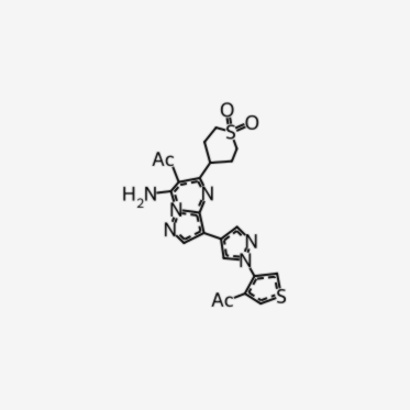 CC(=O)c1cscc1-n1cc(-c2cnn3c(N)c(C(C)=O)c(C4CCS(=O)(=O)CC4)nc23)cn1